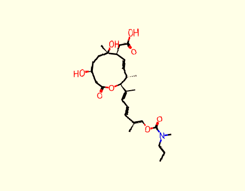 CCCN(C)C(=O)OC[C@@H](C)/C=C/C=C(\C)[C@H]1OC(=O)C[C@@H](O)CC[C@](C)(O)[C@@H](CC(=O)O)/C=C/[C@@H]1C